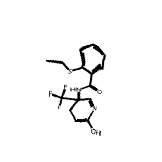 CCSc1ccccc1C(=O)NC1(C(F)(F)F)C=NC(O)=CC1